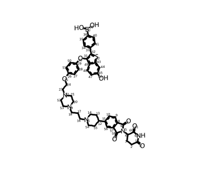 O=C1CCC(N2C(=O)c3ccc(C4CCN(CCCN5CCN(CCOc6ccc(Oc7c(-c8ccc(B(O)O)cc8)sc8cc(O)ccc78)cc6)CC5)CC4)cc3C2=O)C(=O)N1